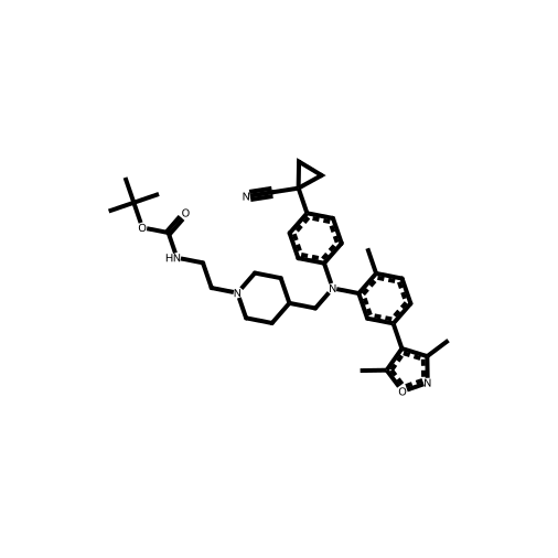 Cc1ccc(-c2c(C)noc2C)cc1N(CC1CCN(CCNC(=O)OC(C)(C)C)CC1)c1ccc(C2(C#N)CC2)cc1